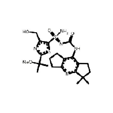 COC(C)(C)c1nc(CO)c([S@](N)(=O)=NC(=O)Nc2c3c(nc4c2CCC4(C)C)CCC3)s1